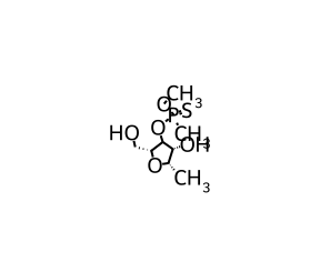 COP(C)(=S)OC1[C@@H](CO)O[C@@H](C)[C@H]1O